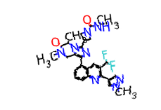 CNC(=O)N1CC(c2nc(-c3cccc4nc(-c5cnn(C)c5)c(C(F)F)cc34)c3n2C(C)C(=O)N(C)C3)C1